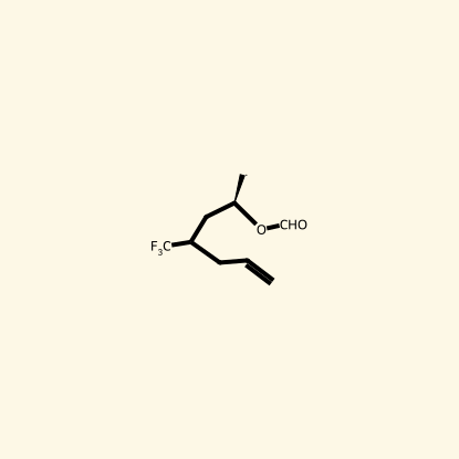 [CH2][C@H](CC(CC=C)C(F)(F)F)OC=O